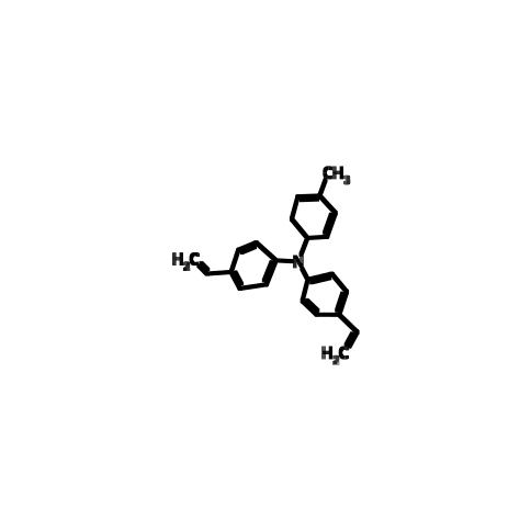 C=Cc1ccc(N(c2ccc(C=C)cc2)C2C=CC(C)=CC2)cc1